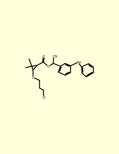 CC1(C)C(OCCCCl)C1C(=O)OC(C#N)c1cccc(Nc2ccccc2)c1